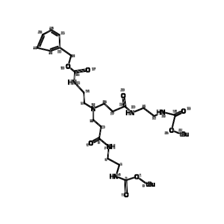 CC(C)(C)OC(=O)NCCNC(=O)CCN(CCNC(=O)OCc1ccccc1)CCC(=O)NCCNC(=O)OC(C)(C)C